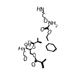 C1CCCCC1.C=C(C)C(=O)OCC(CO)OC(=O)C(=C)C.CCOC(N)=O.N=C=O.N=C=O